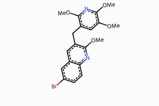 COc1cc(Cc2cc3cc(Br)ccc3nc2OC)c(OC)nc1OC